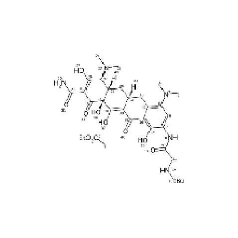 CCOC(C)=O.CN(C)c1cc(NC(=O)CNC(C)(C)C)c(O)c2c1C[C@H]1C[C@H]3[C@H](N(C)C)C(O)=C(C(N)=O)C(=O)[C@@]3(O)C(O)=C1C2=O